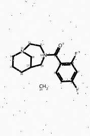 O=C(c1ccc(F)cc1F)N1CCN2CCCC(C2)C1.[CH2]